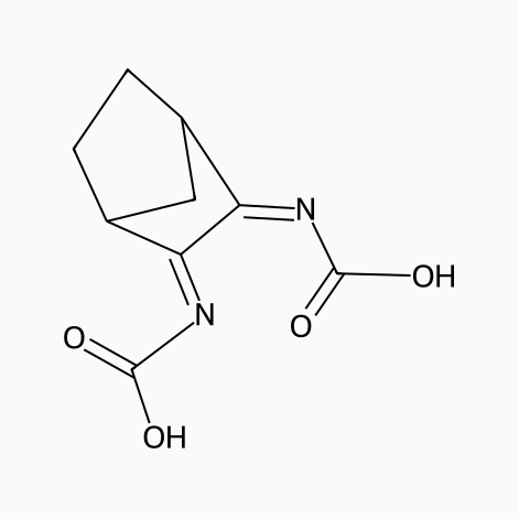 O=C(O)N=C1C(=NC(=O)O)C2CCC1C2